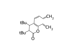 C=C/C=C\C1=C(C=C)OC(=O)C(C(C)(C)C)C1C(C)(C)C